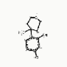 CC1(c2ccc(Cl)nc2C#N)CCOCC1